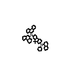 CC1(C)c2cc(N(c3ccccc3)c3cccc4ccccc34)ccc2-c2ccc(N(c3cc4ccccc4c4ccccc34)c3cc4ccccc4c4ccccc34)cc21